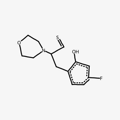 Oc1cc(F)ccc1CC(C=S)N1CCOCC1